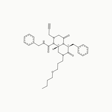 C#CCN1CC(=O)N2[C@@H](Cc3ccccc3)C(=O)N(CCCOCCCC)C[C@@H]2N1C(=O)NCc1ccccc1